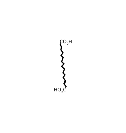 O=C(O)C/C=C/CCCCCCCCCCCCCC(=O)O